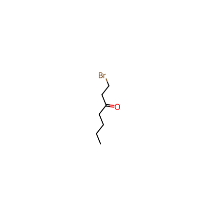 CCCCC(=O)CCBr